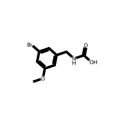 COc1cc(Br)cc(CNC(=O)O)c1